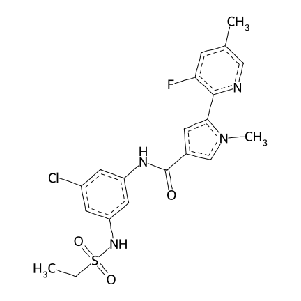 CCS(=O)(=O)Nc1cc(Cl)cc(NC(=O)c2cc(-c3ncc(C)cc3F)n(C)c2)c1